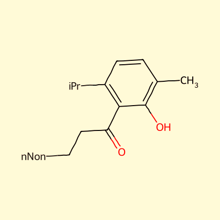 CCCCCCCCCCCC(=O)c1c(C(C)C)ccc(C)c1O